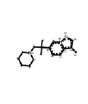 CC(C)(CN1CCCCC1)c1ccc2c(I)cnn2c1